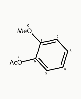 COc1cc[c]cc1OC(C)=O